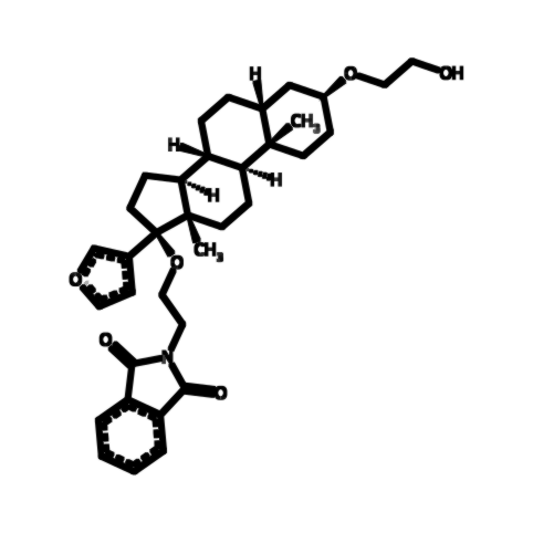 C[C@]12CC[C@H](OCCO)C[C@H]1CC[C@@H]1[C@@H]2CC[C@@]2(C)[C@H]1CC[C@@]2(OCCN1C(=O)c2ccccc2C1=O)c1ccoc1